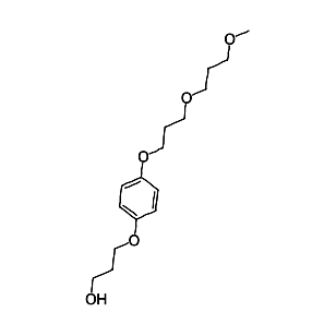 COCCCOCCCOc1ccc(OCCCO)cc1